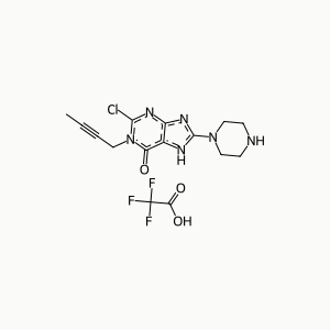 CC#CCn1c(Cl)nc2nc(N3CCNCC3)[nH]c2c1=O.O=C(O)C(F)(F)F